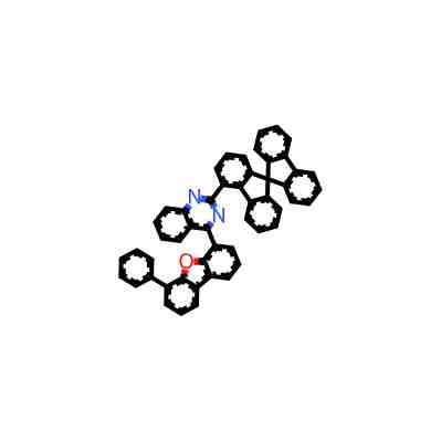 c1ccc(-c2cccc3c2oc2c(-c4nc(-c5cccc6c5-c5ccccc5C65c6ccccc6-c6ccccc65)nc5ccccc45)cccc23)cc1